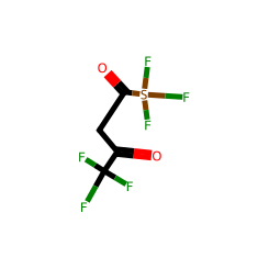 O=C(CC(=O)S(F)(F)F)C(F)(F)F